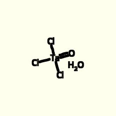 O.[O]=[Ta]([Cl])([Cl])[Cl]